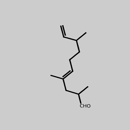 C=CC(C)CCC=C(C)CC(C)C=O